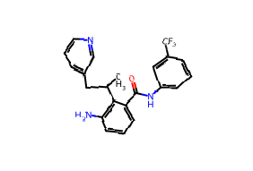 CC(Cc1cccnc1)c1c(N)cccc1C(=O)Nc1cccc(C(F)(F)F)c1